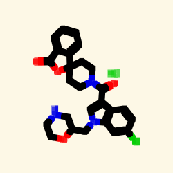 Cl.O=C1OC2(CCN(C(=O)c3cn(CC4CNCCO4)c4cc(Cl)ccc34)CC2)c2ccccc21